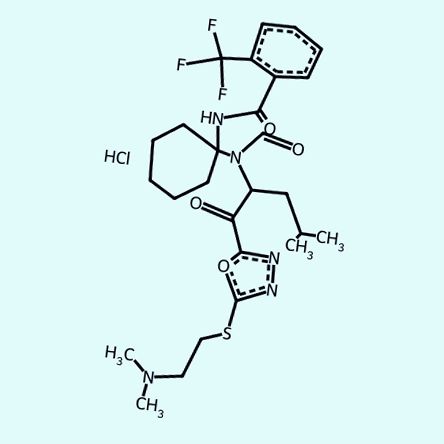 CC(C)CC(C(=O)c1nnc(SCCN(C)C)o1)N(C=O)C1(NC(=O)c2ccccc2C(F)(F)F)CCCCC1.Cl